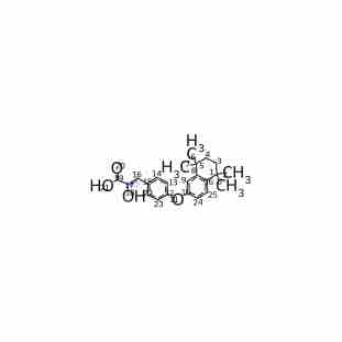 CC1(C)CCC(C)(C)c2cc(Oc3ccc(/C=C(\O)C(=O)O)cc3)ccc21